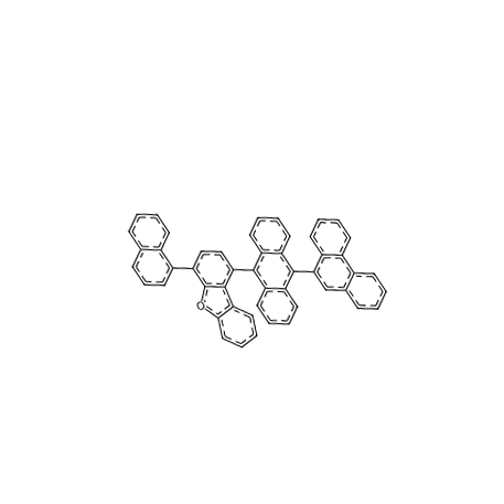 c1ccc2c(-c3ccc(-c4c5ccccc5c(-c5cc6ccccc6c6ccccc56)c5ccccc45)c4c3oc3ccccc34)cccc2c1